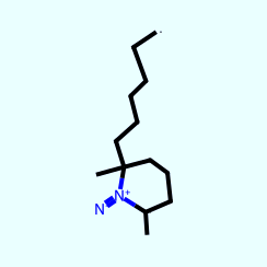 [CH2]CCCCCC1(C)CCC[C](C)[N+]1=[N-]